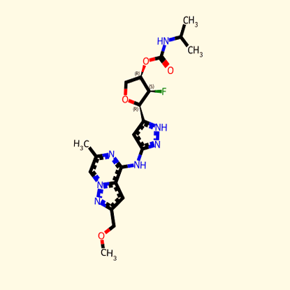 COCc1cc2c(Nc3cc([C@H]4OC[C@@H](OC(=O)NC(C)C)[C@H]4F)[nH]n3)nc(C)cn2n1